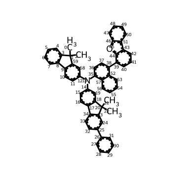 CC1(C)c2ccccc2-c2ccc(N(c3ccc4c(c3)C(C)(C)c3cc(-c5ccccc5)ccc3-4)c3ccc(-c4cccc5c4oc4ccccc45)c4ccccc34)cc21